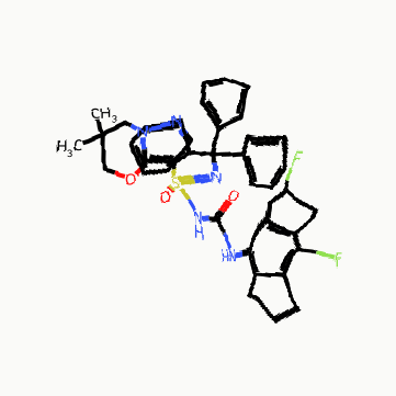 CC1(C)COc2c(S(=O)(=NC(c3ccccc3)(c3ccccc3)c3ccccc3)NC(=O)Nc3c4c(c(F)c5c3CC(F)C5)CCC4)cnn2C1